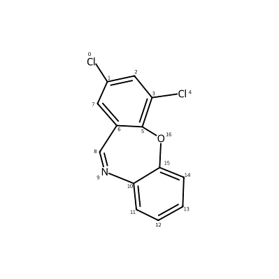 Clc1cc(Cl)c2c(c1)C=Nc1ccccc1O2